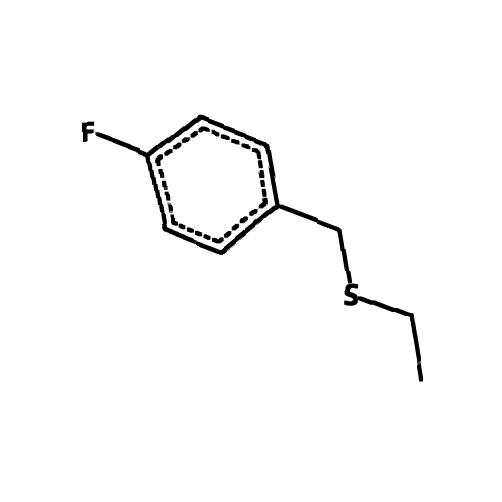 CCSCc1ccc(F)cc1